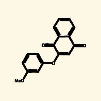 COc1cccc(OC2=CC(=O)c3ccccc3C2=O)c1